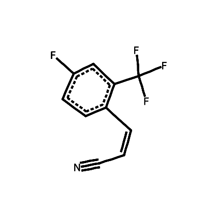 N#C/C=C\c1ccc(F)cc1C(F)(F)F